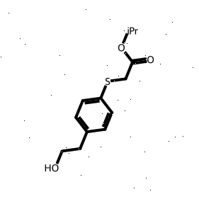 CC(C)OC(=O)CSc1ccc(CCO)cc1